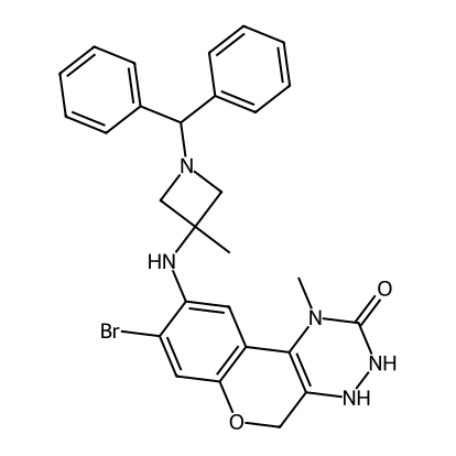 CN1C(=O)NNC2=C1c1cc(NC3(C)CN(C(c4ccccc4)c4ccccc4)C3)c(Br)cc1OC2